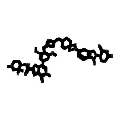 COc1cc(-c2cn(C)c(=O)c3cc(C(=O)NC4CCN(C)CC4(F)F)sc23)cc(OC)c1CN1CC(CN2CCC3(CC2)CN(c2ccc4c(c2)CN(C2CCC(=O)NC2=O)C4=O)C3)C1